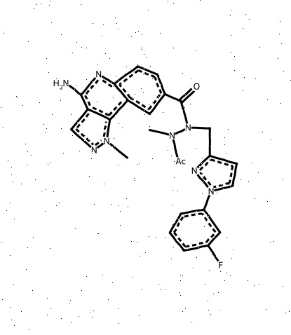 CC(=O)N(C)N(Cc1ccn(-c2cccc(F)c2)n1)C(=O)c1ccc2nc(N)c3cnn(C)c3c2c1